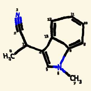 CC(C#N)c1cn(C)c2ccccc12